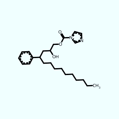 CCCCCCCCCCC(CC(O)COC(=O)n1ccnc1)c1ccccc1